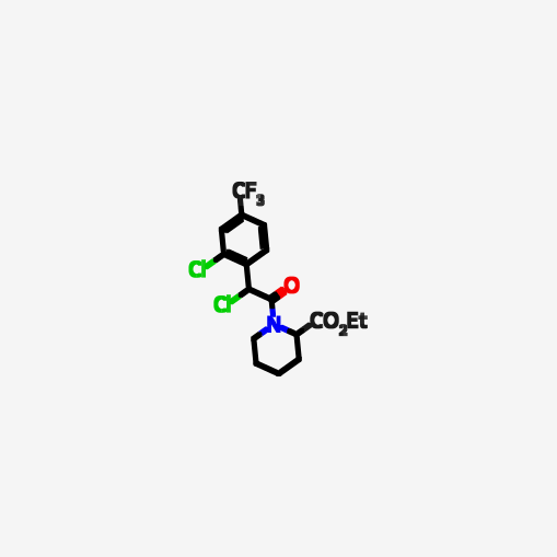 CCOC(=O)C1CCCCN1C(=O)C(Cl)c1ccc(C(F)(F)F)cc1Cl